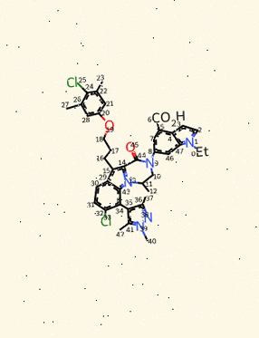 CCn1ccc2c(C(=O)O)cc(N3CC(C)n4c(c(CCCOc5cc(C)c(Cl)c(C)c5)c5ccc(Cl)c(-c6c(C)nn(C)c6C)c54)C3=O)cc21